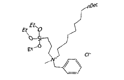 CCCCCCCCCCCCCCCCCC[N+](C)(CCC[Si](OCC)(OCC)OCC)Cc1ccccc1.[Cl-]